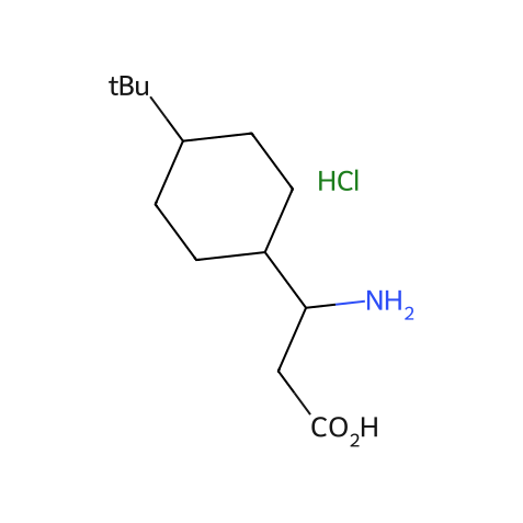 CC(C)(C)C1CCC(C(N)CC(=O)O)CC1.Cl